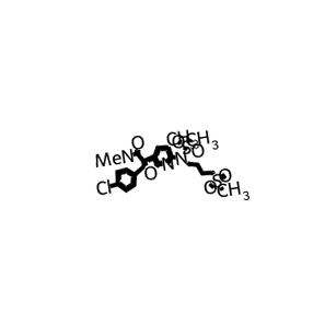 CNC(=O)c1c(-c2ccc(Cl)cc2)oc2nc(N(CCCCS(C)(=O)=O)S(C)(=O)=O)c(C)cc12